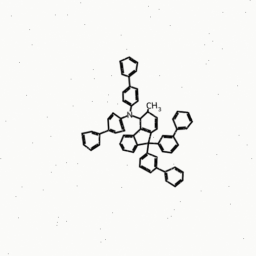 CC1C=CC2=C(c3ccccc3C2(c2cccc(-c3ccccc3)c2)c2cccc(-c3ccccc3)c2)C1N(c1ccc(-c2ccccc2)cc1)c1ccc(-c2ccccc2)cc1